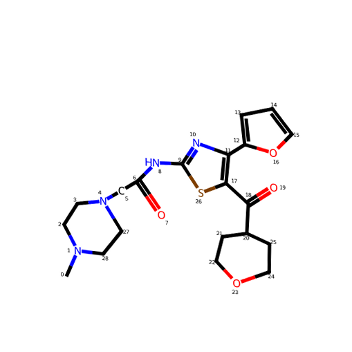 CN1CCN(CC(=O)Nc2nc(-c3ccco3)c(C(=O)C3CCOCC3)s2)CC1